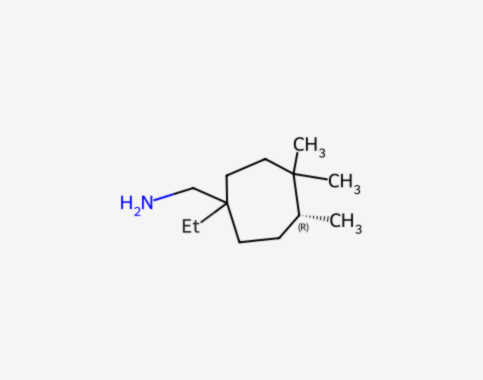 CCC1(CN)CC[C@@H](C)C(C)(C)CC1